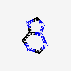 c1ncc2ncnn2n1